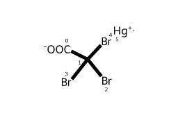 O=C([O-])C(Br)(Br)Br.[Hg+]